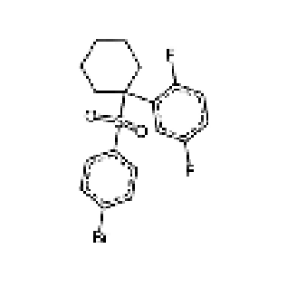 O=S(=O)(c1ccc(Br)cc1)C1(c2cc(F)ccc2F)CCCCC1